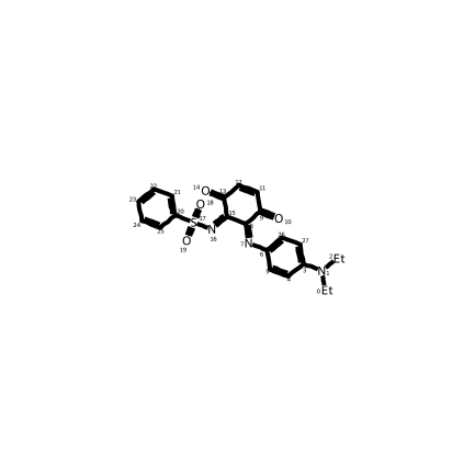 CCN(CC)c1ccc(N=c2c(=O)ccc(=O)c2=NS(=O)(=O)c2ccccc2)cc1